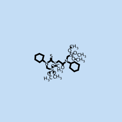 CO[Si](CN(C(=O)CSC(=S)N(C[Si](OC)(OC)OC)C1CCCCC1)C1CCCCC1)(OC)OC